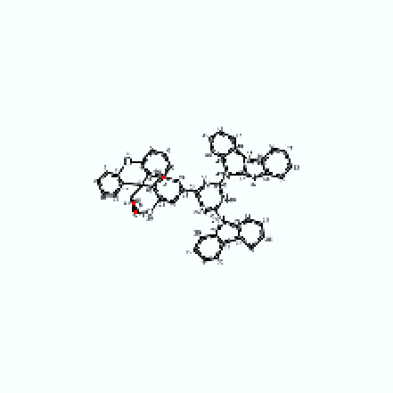 c1ccc2c(c1)Oc1ccccc1C21c2ccccc2Oc2cc(-c3nc(-n4c5ccccc5c5ccccc54)nc(-n4c5ccccc5n5c6ccccc6nc45)n3)ccc21